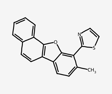 Cc1ccc2c(oc3c4ccccc4ccc23)c1-c1nccs1